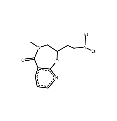 CCN(CC)CCC1CN(C)C(=O)c2cccnc2O1